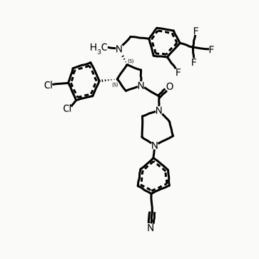 CN(Cc1ccc(C(F)(F)F)c(F)c1)[C@@H]1CN(C(=O)N2CCN(c3ccc(C#N)cc3)CC2)C[C@@H]1c1ccc(Cl)c(Cl)c1